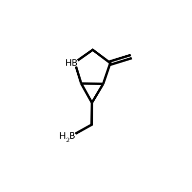 BCC1C2BCC(=C)C21